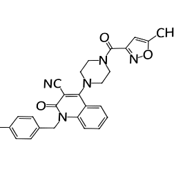 Cc1cc(C(=O)N2CCN(c3c(C#N)c(=O)n(Cc4ccc(F)cc4)c4ccccc34)CC2)no1